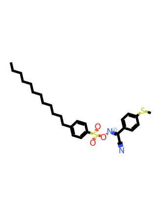 CCCCCCCCCCCCc1ccc(S(=O)(=O)O/N=C(\C#N)c2ccc(SC)cc2)cc1